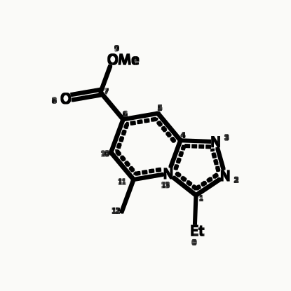 CCc1nnc2cc(C(=O)OC)cc(C)n12